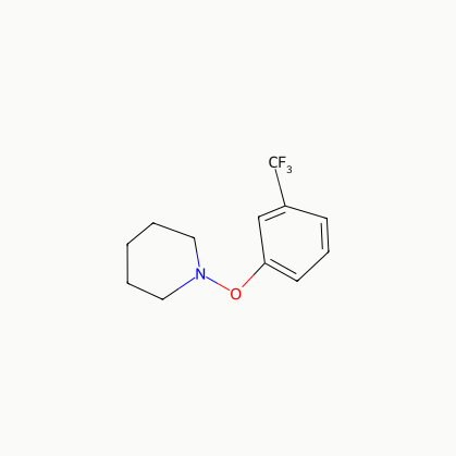 FC(F)(F)c1cccc(ON2CCCCC2)c1